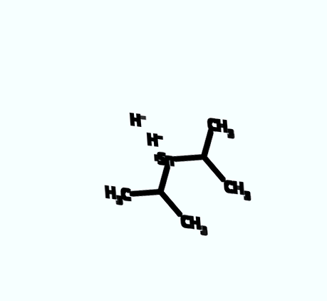 C[CH](C)[Sn][CH](C)C.[H-].[H-]